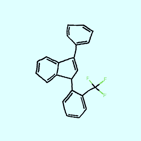 FC(F)(F)c1ccccc1C1C=C(c2ccccc2)c2ccccc21